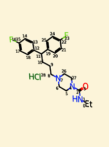 CCNC(=O)N1CCN(CCCC(c2ccc(F)cc2)c2ccc(F)cc2)CC1.Cl